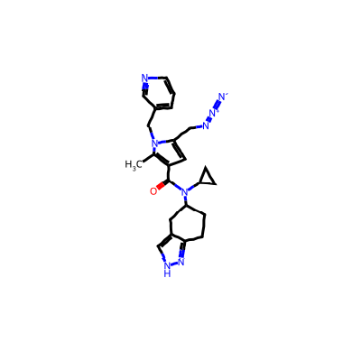 Cc1c(C(=O)N(C2CC2)C2CCc3n[nH]cc3C2)cc(CN=[N+]=[N-])n1Cc1cccnc1